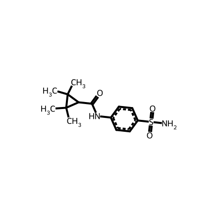 CC1(C)C(C(=O)Nc2ccc(S(N)(=O)=O)cc2)C1(C)C